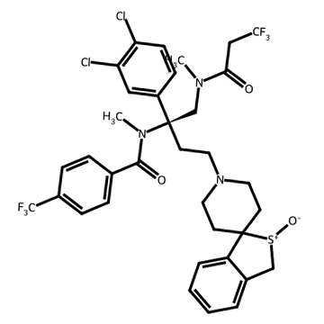 CN(C[C@](CCN1CCC2(CC1)c1ccccc1C[S+]2[O-])(c1ccc(Cl)c(Cl)c1)N(C)C(=O)c1ccc(C(F)(F)F)cc1)C(=O)CC(F)(F)F